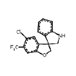 FC(F)(F)c1cc2c(cc1Cl)C1(CNc3ccccc31)CO2